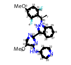 COc1cc(F)c([C@@H](C)n2nc(-c3ncc(OC)c(Nc4ccncc4)n3)c3ccccc32)c(F)c1